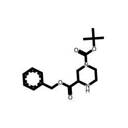 CC(C)(C)OC(=O)N1CCNC(C(=O)OCc2ccccc2)C1